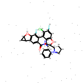 CNC(=O)c1cc2c(c(F)c1-c1c(Cl)c(F)cc3c1C[C@](c1ccccc1)([C@@H]1CCCN1)O3)OC1CC21